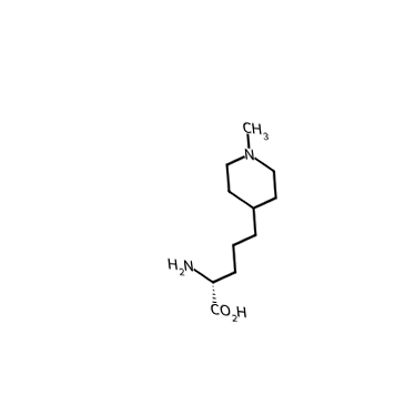 CN1CCC(CCC[C@@H](N)C(=O)O)CC1